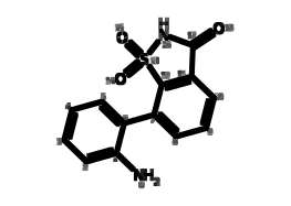 Nc1ccccc1-c1cccc2c1S(=O)(=O)NC2=O